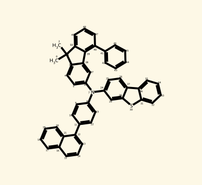 CC1(C)c2ccc(N(c3ccc(-c4cccc5ccccc45)cc3)c3ccc4c(c3)sc3ccccc34)cc2-c2c(-c3ccccc3)cccc21